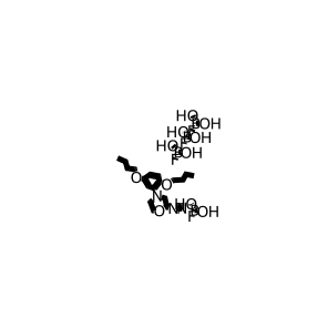 CCCCOc1ccc(OCCCC)c(N2CCOC(=[N+]=[N-])C2)c1.OB(O)F.OB(O)F.OB(O)F.OB(O)F